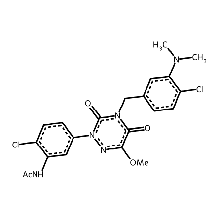 COc1nn(-c2ccc(Cl)c(NC(C)=O)c2)c(=O)n(Cc2ccc(Cl)c(N(C)C)c2)c1=O